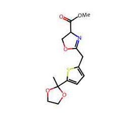 COC(=O)C1COC(Cc2ccc(C3(C)OCCO3)s2)=N1